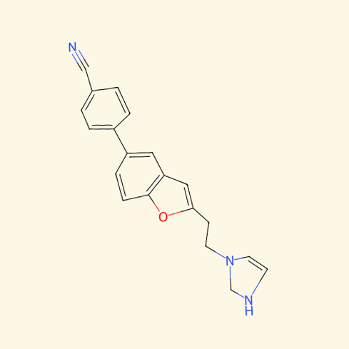 N#Cc1ccc(-c2ccc3oc(CCN4C=CNC4)cc3c2)cc1